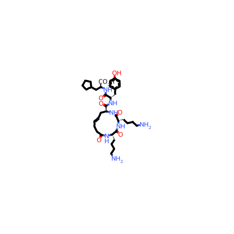 NCCCC[C@@H]1NC(=O)CC/C=C/C[C@@H](C(=O)N[C@@H](Cc2ccc(O)cc2)C(=O)N[C@@H](CC2CCCC2)C(=O)O)NC(=O)[C@H](CCCCN)NC1=O